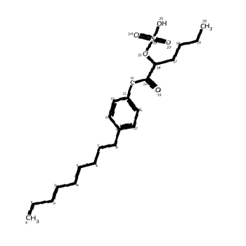 CCCCCCCCCc1ccc(OC(=O)C(CCCC)OS(=O)(=O)O)cc1